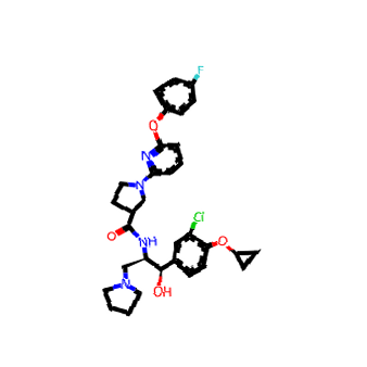 O=C(N[C@H](CN1CCCC1)[C@H](O)c1ccc(OC2CC2)c(Cl)c1)C1CCN(c2cccc(Oc3ccc(F)cc3)n2)C1